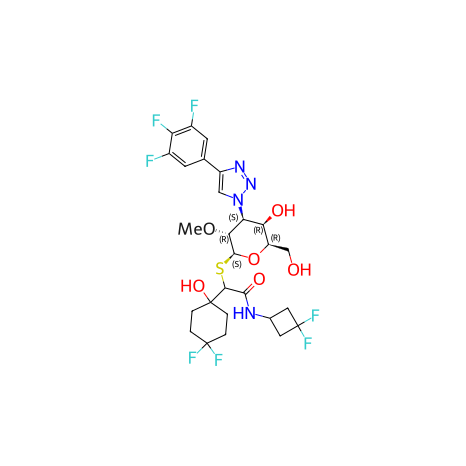 CO[C@@H]1[C@@H](n2cc(-c3cc(F)c(F)c(F)c3)nn2)[C@@H](O)[C@@H](CO)O[C@H]1SC(C(=O)NC1CC(F)(F)C1)C1(O)CCC(F)(F)CC1